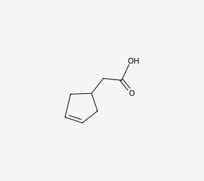 O=C(O)CC1CC=CC1